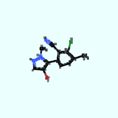 Cc1ccc(-c2c(Br)cnn2C)c(C#N)c1Cl